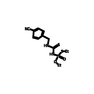 CCOP(=O)(NC(=S)NCc1ccc(C#N)cc1)SCC